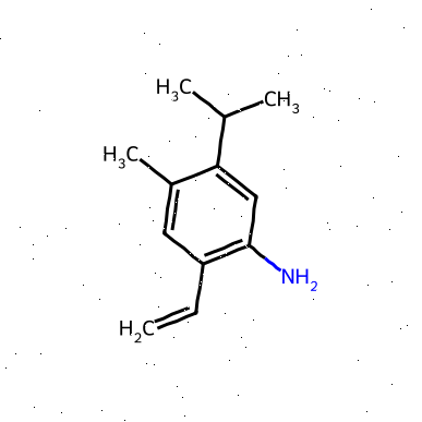 C=Cc1cc(C)c(C(C)C)cc1N